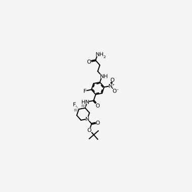 CC(C)(C)OC(=O)N1CC[C@H](F)[C@@H](NC(=O)c2cc([N+](=O)[O-])c(NCCC(N)=O)cc2F)C1